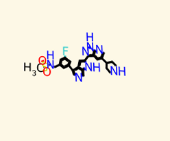 CS(=O)(=O)NCc1cc(F)cc(-c2cncc3[nH]c(-c4n[nH]c5ncc(C6CCNCC6)cc45)cc23)c1